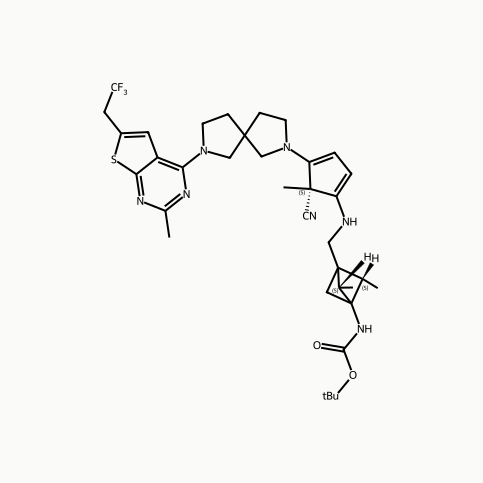 Cc1nc(N2CCC3(CCN(C4=CC=C(NCC56CC(NC(=O)OC(C)(C)C)([C@H]5C)[C@H]6C)[C@]4(C)C#N)C3)C2)c2cc(CC(F)(F)F)sc2n1